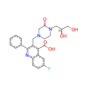 O=C(O)c1c(CN2CCN(C[C@H](O)CO)C(=O)C2)c(-c2ccccc2)nc2ccc(F)cc12